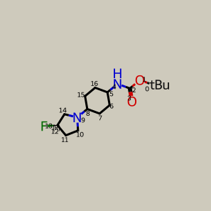 CC(C)(C)OC(=O)NC1CCC(N2CC[C@@H](F)C2)CC1